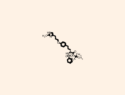 Cc1nc(CCCOc2ccc(CCC[C@H](NS(=O)(=O)c3ccccc3)C(=O)OC(C)(C)C)cc2)c[nH]1